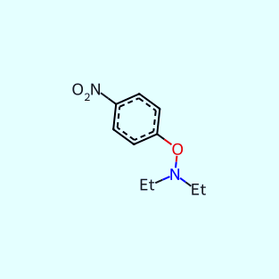 CCN(CC)Oc1ccc([N+](=O)[O-])cc1